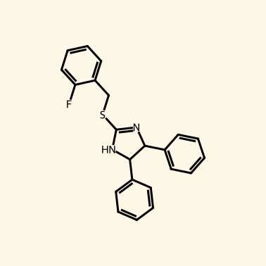 Fc1ccccc1CSC1=NC(c2ccccc2)C(c2ccccc2)N1